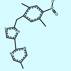 Cc1cnc(-c2csc(Cc3cc(C)c([N+](=O)[O-])cc3C)n2)nc1